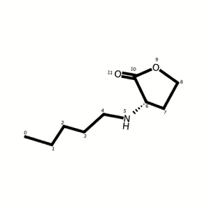 CCCCCN[C@H]1CCOC1=O